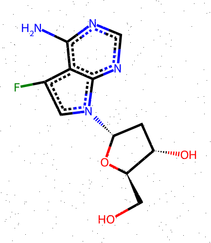 Nc1ncnc2c1c(F)cn2[C@@H]1C[C@H](O)[C@@H](CO)O1